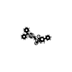 O=C1NC2(CCC(c3ccccc3)CC2)C(=O)N1CCN1CCN(C(c2ccccc2)c2ccccc2)CC1